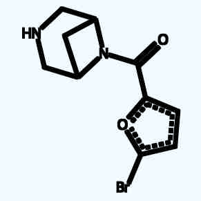 O=C(c1ccc(Br)o1)N1C2CNCC1C2